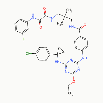 CC(C)(CNC(=O)C(=O)Nc1cccc(F)c1)CNC(=O)c1ccc(Nc2nc(NC3(c4ccc(Cl)cc4)CC3)nc(OCC(F)(F)F)n2)cc1